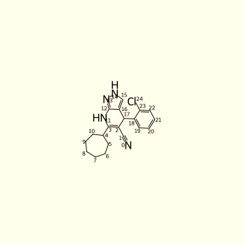 N#CC1=C(C2CCCCCC2)Nc2n[nH]cc2C1c1ccccc1Cl